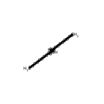 COCCOCCOCCOCCOCCOCCOCCOCCOC(=O)OCC(CO)(CO)NC(=O)CCOCCOCCOCCOCCOCCOCCOCCOC